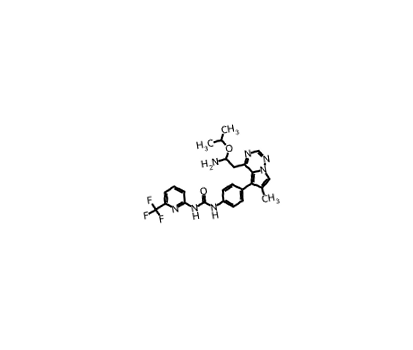 Cc1cn2ncnc(CC(N)OC(C)C)c2c1-c1ccc(NC(=O)Nc2cccc(C(F)(F)F)n2)cc1